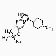 CN1CCC(c2c[nH]c3ccc(O[Si](C)(C)C(C)(C)C)cc23)CC1